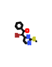 CSc1nccc(C(Br)C(=O)c2ccccc2)n1